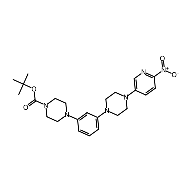 CC(C)(C)OC(=O)N1CCN(c2cccc(N3CCN(c4ccc([N+](=O)[O-])nc4)CC3)c2)CC1